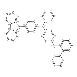 c1ccc(-c2ccccc2Nc2ccc(N(c3ccccc3)c3ccc(-n4c5ccccc5c5ccccc54)cc3)cc2)cc1